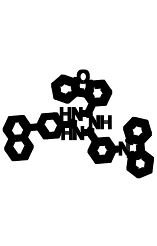 C1=CC2C=CC=C(C3=CCC(C4NC(c5cccc(-n6c7ccccc7c7ccccc76)c5)NC(c5cccc6oc7ccccc7c56)N4)CC3)C2C=C1